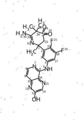 CC1(c2cc(Nc3nccc4nc(O)cnc34)cc(F)c2F)CS(=O)(=O)C(C)(C)C(N)=N1